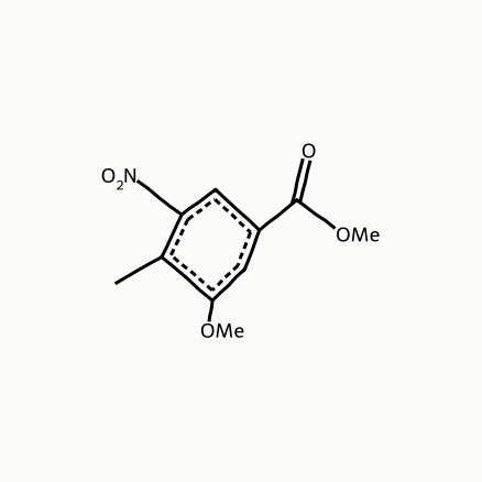 COC(=O)c1cc(OC)c(C)c([N+](=O)[O-])c1